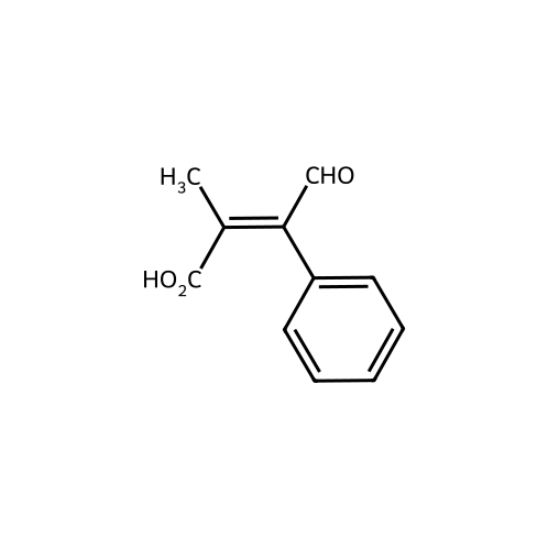 C/C(C(=O)O)=C(\C=O)c1ccccc1